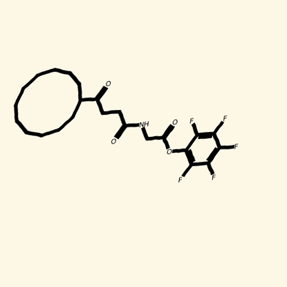 O=C(CCC(=O)C1CCCCCCCCCCC1)NCC(=O)Oc1c(F)c(F)c(F)c(F)c1F